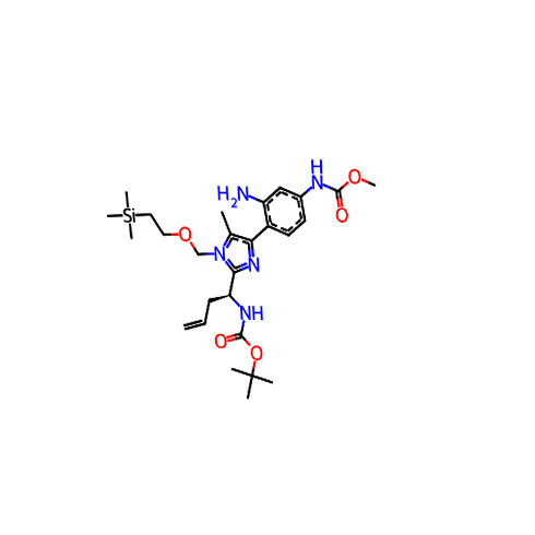 C=CC[C@H](NC(=O)OC(C)(C)C)c1nc(-c2ccc(NC(=O)OC)cc2N)c(C)n1COCC[Si](C)(C)C